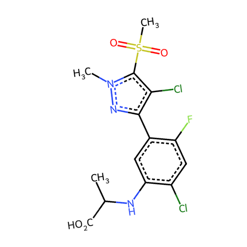 CC(Nc1cc(-c2nn(C)c(S(C)(=O)=O)c2Cl)c(F)cc1Cl)C(=O)O